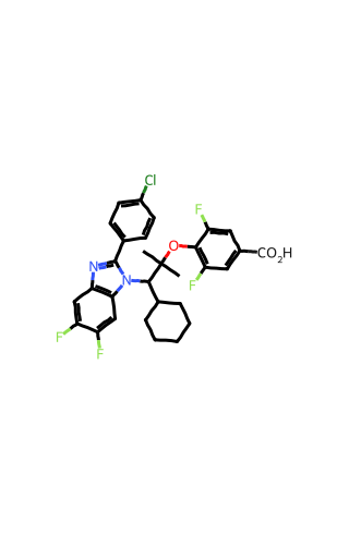 CC(C)(Oc1c(F)cc(C(=O)O)cc1F)C(C1CCCCC1)n1c(-c2ccc(Cl)cc2)nc2cc(F)c(F)cc21